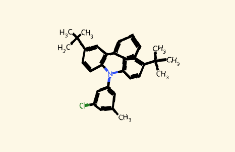 Cc1cc(Cl)cc(N(c2ccc(C(C)(C)C)cc2)c2ccc(C(C)(C)C)cc2-c2ccccc2)c1